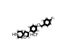 Cl.Fc1ccc(COc2ccc([C@H]3COC4(CCNCC4)C3)cc2)cc1